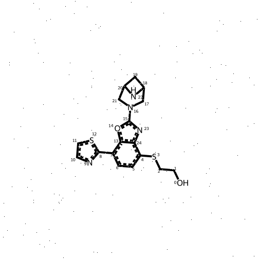 OCCSc1ccc(-c2nccs2)c2oc(N3CC4CC(C3)N4)nc12